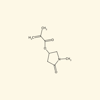 C=C(C)C(=O)OC1CC(=O)N(C)C1